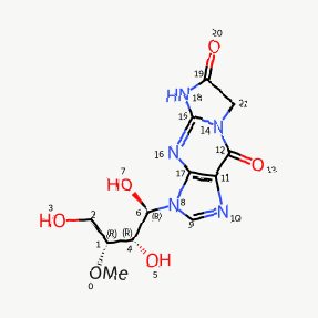 CO[C@H](CO)[C@@H](O)[C@@H](O)n1cnc2c(=O)n3c(nc21)NC(=O)C3